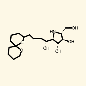 OC[C@H]1N[C@H]([C@H](O)CCCC2CCCC3(CCCCO3)O2)[C@@H](O)[C@@H]1O